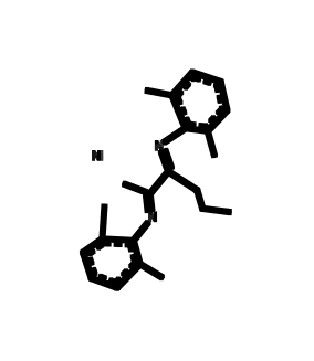 CCCC(=Nc1c(C)cccc1C)C(C)=Nc1c(C)cccc1C.[Ni]